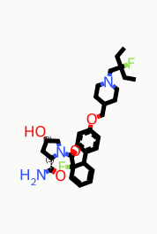 CCC(F)(CC)CN1CCC(COc2ccc(C3C=CC=CC3(F)C(=O)N3C[C@H](O)C[C@H]3C(N)=O)cc2)CC1